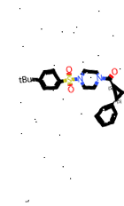 CC(C)(C)c1ccc(S(=O)(=O)N2CCN(C(=O)[C@H]3C[C@@H]3c3ccccc3)CC2)cc1